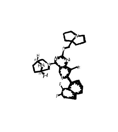 Fc1ccc2cccc(-c3ncc4c(N5C[C@H]6CC[C@@H](C5)N6)nc(OCC56CCCN5CCC6)nc4c3F)c2c1F